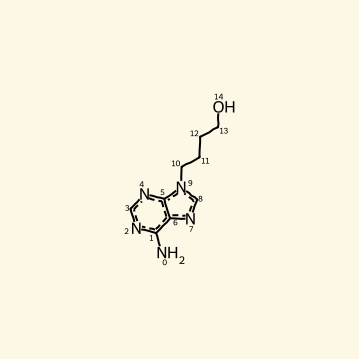 Nc1ncnc2c1ncn2CCCCO